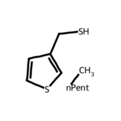 CCCCCC.SCc1ccsc1